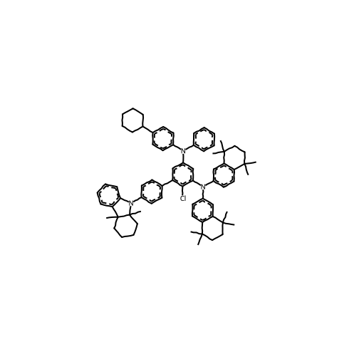 CC1(C)CCC(C)(C)c2cc(N(c3ccc4c(c3)C(C)(C)CCC4(C)C)c3cc(N(c4ccccc4)c4ccc(C5CCCCC5)cc4)cc(-c4ccc(N5c6ccccc6C6(C)CCCCC56C)cc4)c3Cl)ccc21